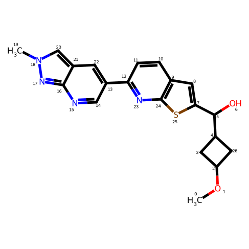 COC1CC(C(O)c2cc3ccc(-c4cnc5nn(C)cc5c4)nc3s2)C1